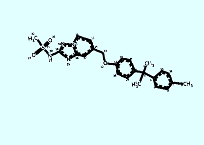 Cc1ccc(C(C)(C)c2ccc(OCc3ccn4nc(NS(C)(=O)=O)nc4c3)cc2)cc1